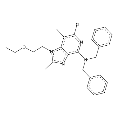 CCOCCn1c(C)nc2c(N(Cc3ccccc3)Cc3ccccc3)nc(Cl)c(C)c21